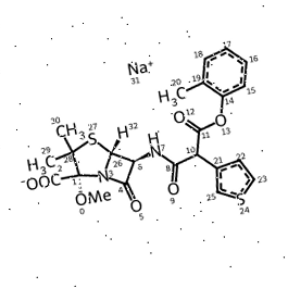 CO[C@@]1(C(=O)[O-])N2C(=O)[C@H](NC(=O)C(C(=O)Oc3ccccc3C)c3ccsc3)[C@H]2SC1(C)C.[Na+]